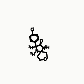 [2H]N1C(=O)C([2H])(c2ccc(Cl)cc2)N([2H])C12CCOCC2